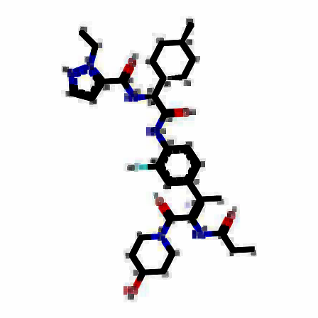 CCC(=O)N/C(C(=O)N1CCC(O)CC1)=C(\C)c1ccc(NC(=O)[C@@H](NC(=O)c2ccnn2CC)[C@H]2CC[C@H](C)CC2)c(F)c1